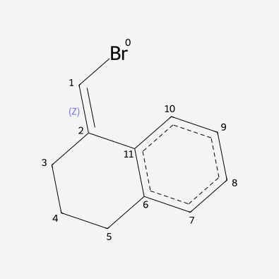 Br/C=C1/CCCc2ccccc21